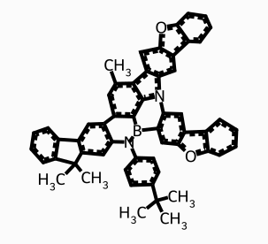 Cc1cc2c3c4c1c1cc5oc6ccccc6c5cc1n4-c1cc4c(cc1B3N(c1ccc(C(C)(C)C)cc1)c1cc3c(cc1-2)-c1ccccc1C3(C)C)oc1ccccc14